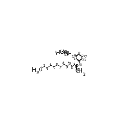 Br.CCCCCCCCCCCCP(C)Cc1ccccc1.N